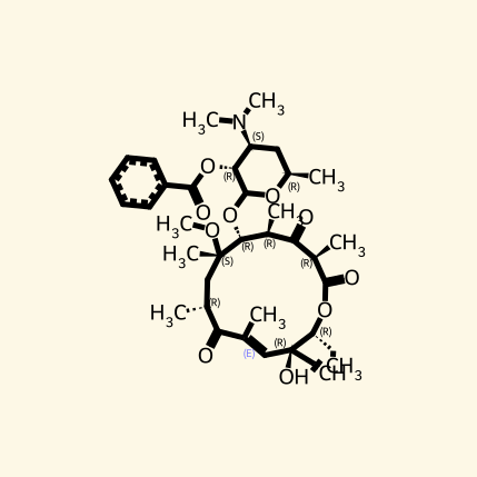 C#C[C@]1(O)/C=C(\C)C(=O)[C@H](C)C[C@](C)(OC)[C@H](OC2O[C@H](C)C[C@H](N(C)C)[C@H]2OC(=O)c2ccccc2)[C@@H](C)C(=O)[C@@H](C)C(=O)O[C@@H]1CC